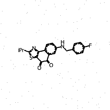 CC(C)c1nc2c(s1)C(=O)C(=O)c1cc(NCc3ccc(F)cc3)ccc1-2